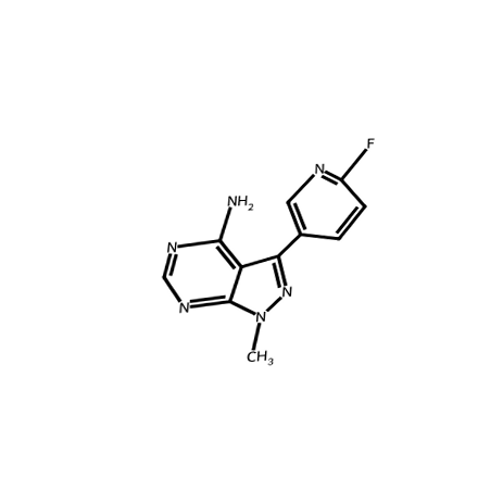 Cn1nc(-c2ccc(F)nc2)c2c(N)ncnc21